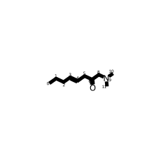 CCC/C=C/CC(=O)CN(C)C